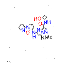 CNc1cc(Nc2cccn(-c3ccccn3)c2=O)nc2c(C(=O)N[C@H]3CC[C@H]3O)cnn12